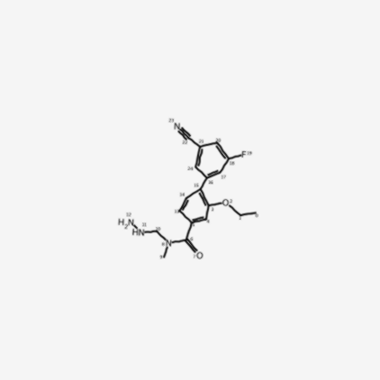 CCOc1cc(C(=O)N(C)CNN)ccc1-c1cc(F)cc(C#N)c1